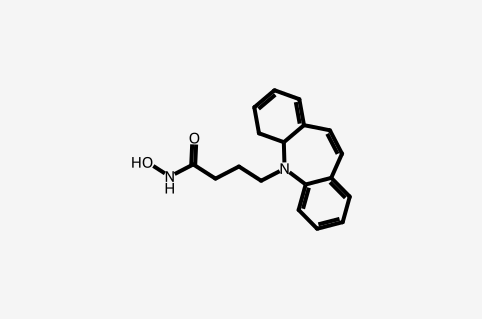 O=C(CCCN1c2ccccc2C=CC2=CC=CCC21)NO